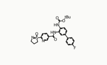 CC(C)(C)OC(=O)Nc1ccc(-c2ccc(F)cc2)cc1NC(=O)c1ccc(S2(=O)=NCCC2)nc1